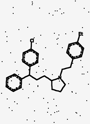 CCc1ccc(CCN2CCCC2CCC(c2ccccc2)c2ccc(Cl)cc2)cc1